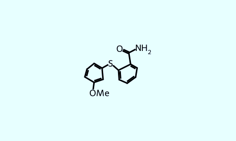 COc1cccc(Sc2ccccc2C(N)=O)c1